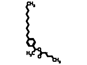 CCC[CH]C(=O)OC(C)c1ccc(CCCCCCCCCC)cc1